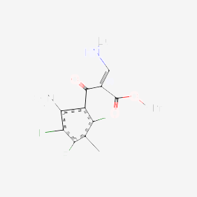 CCCOC(=O)/C(=C/NCC)C(=O)c1c(F)c(C)c(F)c(F)c1[N+](=O)[O-]